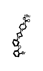 CC(C)(C)OC(=O)N1CCN(C2CN(c3cccc(Oc4ccccc4Br)c3)C2)CC1